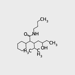 CCCCNC(=O)C(C1CCCCC1)C(CC(O)CC)C(C)C